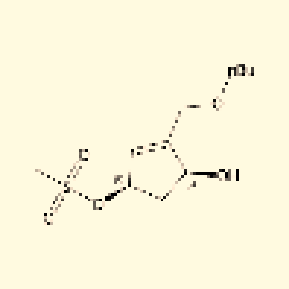 CCCCOCC1=C[C@H](OS(C)(=O)=O)C[C@@H]1O